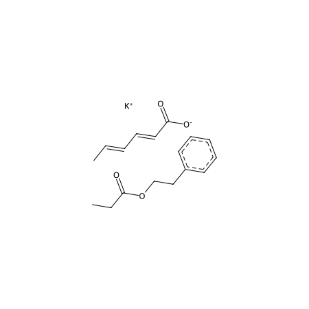 CC=CC=CC(=O)[O-].CCC(=O)OCCc1ccccc1.[K+]